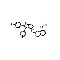 COc1cccc2c1CN(C[C@@H]1CCc3nc(-c4ccc(F)cc4)c(-c4ccncc4)n31)CC2